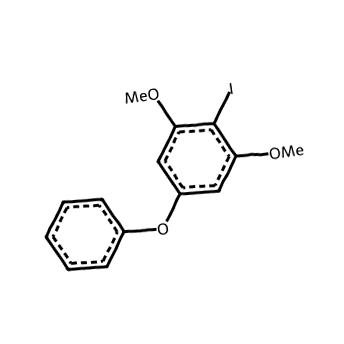 COc1cc(Oc2ccccc2)cc(OC)c1I